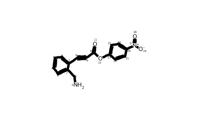 NCc1ccccc1C#CC(=O)Oc1ccc([N+](=O)[O-])cc1